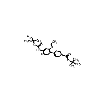 CCOC1=C(C2=CCN(C(=O)OC(C)(C)C)CC2)CNC(NC(=O)OC(C)(C)C)=C1